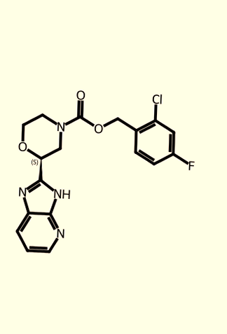 O=C(OCc1ccc(F)cc1Cl)N1CCO[C@H](c2nc3cccnc3[nH]2)C1